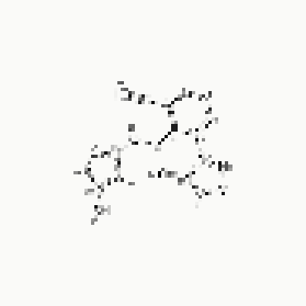 C#Cc1cccc(-n2nn[nH]c2=O)c1COc1ccn(S)n1